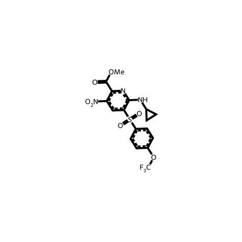 COC(=O)c1nc(NC2CC2)c(S(=O)(=O)c2ccc(OC(F)(F)F)cc2)cc1[N+](=O)[O-]